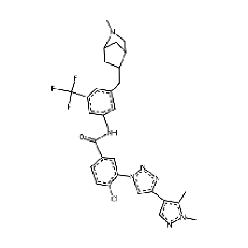 Cc1c(-c2cn(-c3cc(C(=O)Nc4cc(CC5CC6CC5CN6C)cc(C(F)(F)F)c4)ccc3Cl)nn2)cnn1C